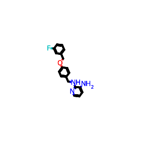 Nc1cccnc1NCc1ccc(OCc2cccc(F)c2)cc1